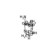 CCCC(C(=O)NN(CCCCC[n+]1ccc2c(C)c3[nH]c4ccc(O)cc4c3c(C)c2c1)C(=O)CCCCCN)C1SCC2NC(=O)NC21